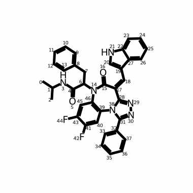 CC(C)NC(=O)C(Cc1ccccc1)N1C(=O)C(=Cc2c[nH]c3ccccc23)c2nnc(-c3ccccc3)n2-c2cc(F)c(F)cc21